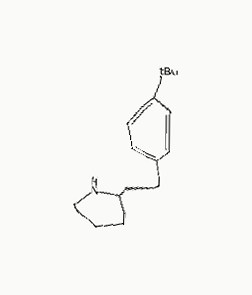 CC(C)(C)c1ccc(CC2CCCN2)cc1